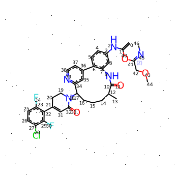 C=C(Nc1ccc2c(c1)NC(=O)C(C)CCCC(N1CCC(c3c(F)ccc(Cl)c3F)=CC1=O)c1cc-2ccn1)O/C(COC)=N\C